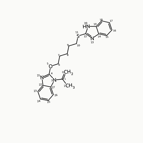 C=C(C)n1c(OCCCCCSc2nc3ccccc3[nH]2)nc2ccccc21